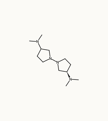 CN(C)C1CCN(N2CC[C@@H](N(C)C)C2)C1